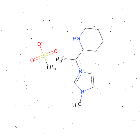 CC(C1CCCCN1)[n+]1ccn(C)c1.CS(=O)(=O)[O-]